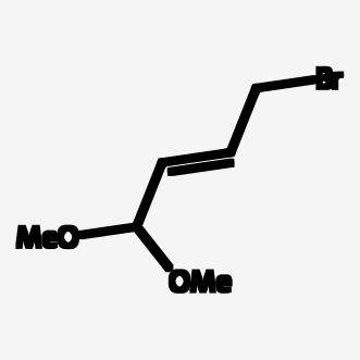 COC(C=CCBr)OC